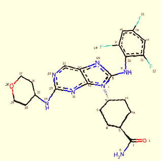 NC(=O)[C@H]1CC[C@H](n2c(Nc3c(F)cc(F)cc3F)nc3cnc(NC4CCOCC4)nc32)CC1